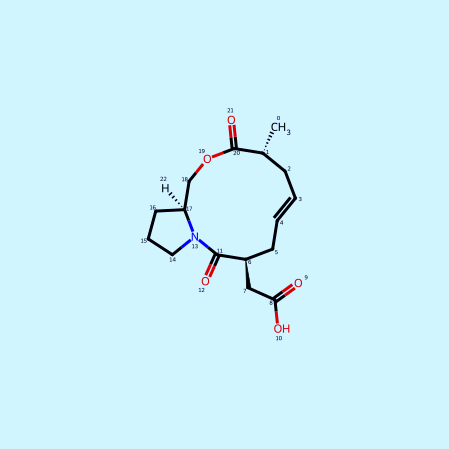 C[C@@H]1C/C=C/C[C@@H](CC(=O)O)C(=O)N2CCC[C@H]2COC1=O